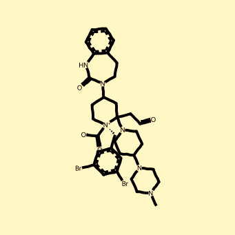 CN1CCN(C2CCN(C3(CC=O)CC(N4CCc5ccccc5NC4=O)CC[N@+]3(Cc3cc(Br)cc(Br)c3)C(=O)[O-])CC2)CC1